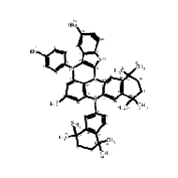 CCC(C)c1ccc(N2c3cc(C)cc4c3B(c3cc5c(cc3N4c3ccc4c(c3)C(C)(C)CCC4(C)C)C(C)(C)CCC5(C)C)c3sc4c#cc(C(C)(C)C)cc4c32)cc1